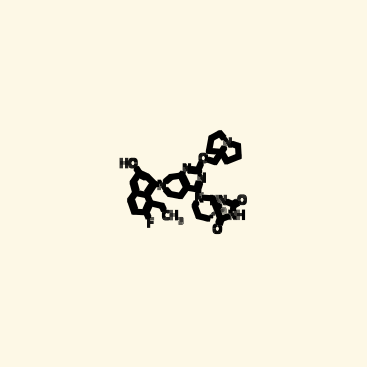 CCc1c(F)ccc2cc(O)cc(N3CCc4c(nc(OCC56CCCN5CCC6)nc4N4CCC[C@]5(C4)NC(=O)NC5=O)C3)c12